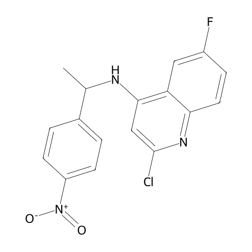 CC(Nc1cc(Cl)nc2ccc(F)cc12)c1ccc([N+](=O)[O-])cc1